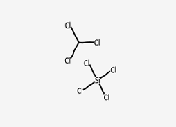 ClC(Cl)Cl.Cl[Si](Cl)(Cl)Cl